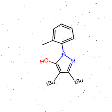 Cc1ccccc1-n1nc(C(C)(C)C)c(C(C)(C)C)c1O